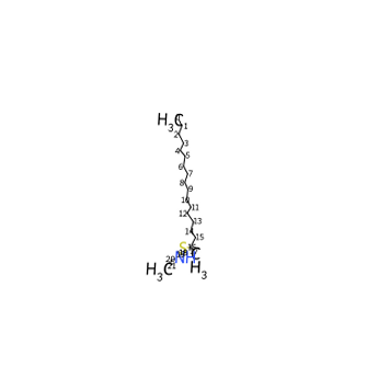 CCCCCCCCCCCCCCCCC(C)SNCC